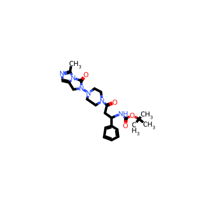 Cc1ncc2n1C(=O)N(N1CCN(C(=O)CC(NC(=O)OC(C)(C)C)c3ccccc3)CC1)C2